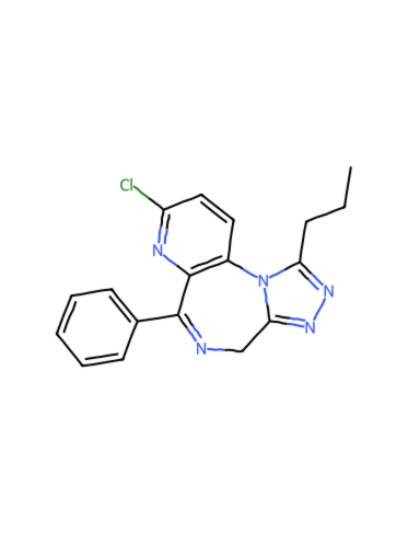 CCCc1nnc2n1-c1ccc(Cl)nc1C(c1ccccc1)=NC2